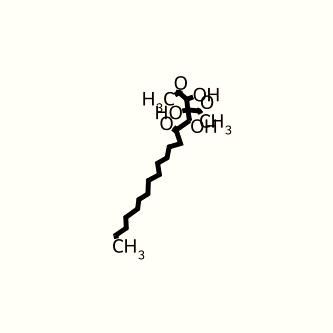 CCCCCCCCCCCCCC(=O)C(O)C(O)(C(C)=O)C(O)C(C)=O